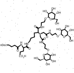 CCCCCCCCCCCCCC(=O)NC(CCC(=O)O)C(=O)NCCCCC(C(=O)NCCO[C@H]1O[C@H](CO)[C@@H](O)[C@H](O)[C@@H]1O)N(CC(=O)NCCO[C@H]1O[C@H](CO)[C@@H](O)[C@H](O)[C@@H]1O)CC(=O)NCCO[C@H]1O[C@H](CO)[C@@H](O)[C@H](O)[C@@H]1O